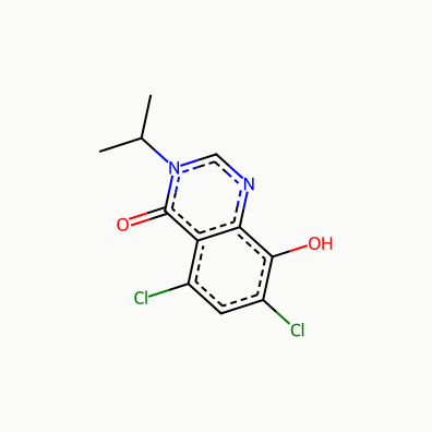 CC(C)n1cnc2c(O)c(Cl)cc(Cl)c2c1=O